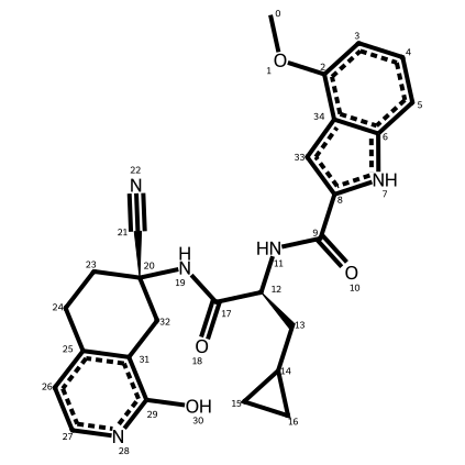 COc1cccc2[nH]c(C(=O)N[C@@H](CC3CC3)C(=O)N[C@@]3(C#N)CCc4ccnc(O)c4C3)cc12